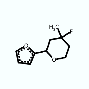 CC1(F)CCOC(c2ccco2)C1